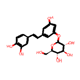 OC[C@H]1OC(Oc2cc(O)cc(C=Cc3ccc(O)c(O)c3)c2)[C@H](O)[C@@H](O)[C@@H]1O